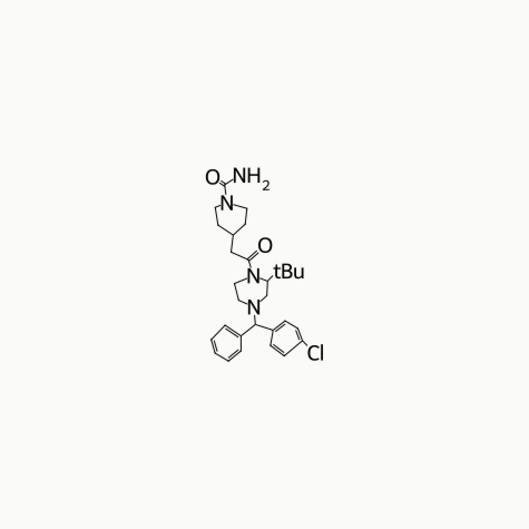 CC(C)(C)C1CN(C(c2ccccc2)c2ccc(Cl)cc2)CCN1C(=O)CC1CCN(C(N)=O)CC1